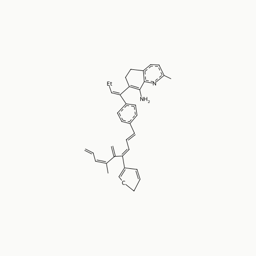 C=C/C=C(/C)C(=C)/C(=C\C=C\c1ccc(/C(=C/CC)C2=C(N)c3nc(C)ccc3CC2)cc1)C1=CCCC=C1